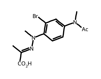 CC(=O)N(C)c1ccc(N(C)/N=C(\C)C(=O)O)c(Br)c1